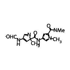 CNC(=O)c1cc(NC(=O)C2(C)C=C(N[C]=O)C=N2)cn1C